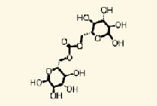 O=C(OC[C@H]1OC(O)[C@H](O)[C@@H](O)[C@@H]1O)OC[C@H]1OC(O)[C@H](O)[C@@H](O)[C@@H]1O